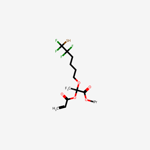 C=CC(=O)OC(OCCCCC(F)(F)C(F)(F)S)(C(=O)OC(C)C)C(F)(F)F